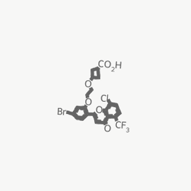 O=C(O)C1CC(OCCOc2cc(Br)ccc2-c2cc(=O)c3c(C(F)(F)F)ccc(Cl)c3o2)C1